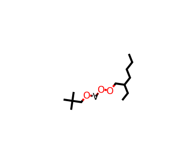 CCCCC(CC)CO[O][V][O]CC(C)(C)C